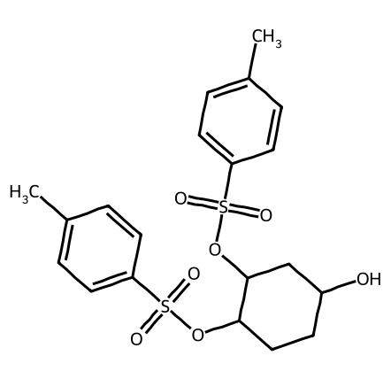 Cc1ccc(S(=O)(=O)OC2CCC(O)CC2OS(=O)(=O)c2ccc(C)cc2)cc1